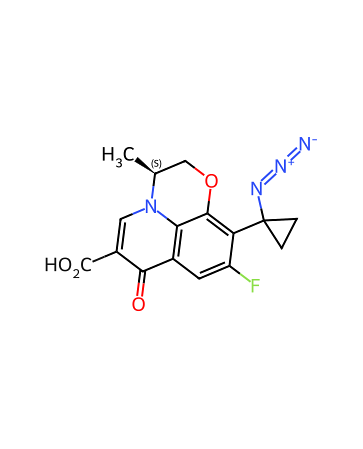 C[C@H]1COc2c(C3(N=[N+]=[N-])CC3)c(F)cc3c(=O)c(C(=O)O)cn1c23